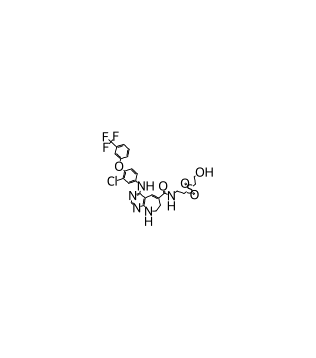 O=C(NCCS(=O)(=O)CCO)C1=Cc2c(ncnc2Nc2ccc(Oc3cccc(C(F)(F)F)c3)c(Cl)c2)NCC1